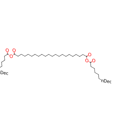 CCCCCCCCCCCCCCCC(=O)OC(=O)CCCCCCCCCCCCCCCCCCCCC(=O)OC(=O)CCCCCCCCCCCCCCC